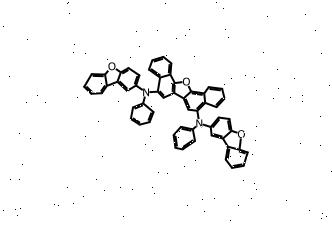 c1ccc(N(c2ccc3oc4ccccc4c3c2)c2cc3c4cc(N(c5ccccc5)c5ccc6oc7ccccc7c6c5)c5ccccc5c4oc3c3ccccc23)cc1